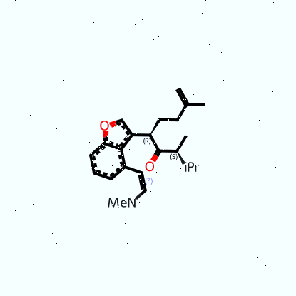 C=C(C)CC[C@@H](C(=O)[C@@H](C)C(C)C)c1coc2cccc(/C=C\NC)c12